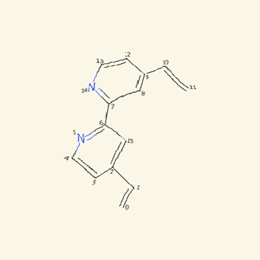 C=Cc1ccnc(-c2cc(C=C)ccn2)c1